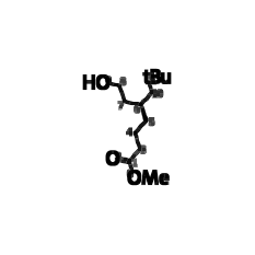 COC(=O)CCC[C@@H](CCO)CC(C)(C)C